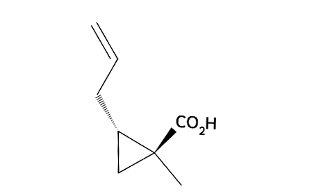 C=CC[C@H]1C[C@]1(C)C(=O)O